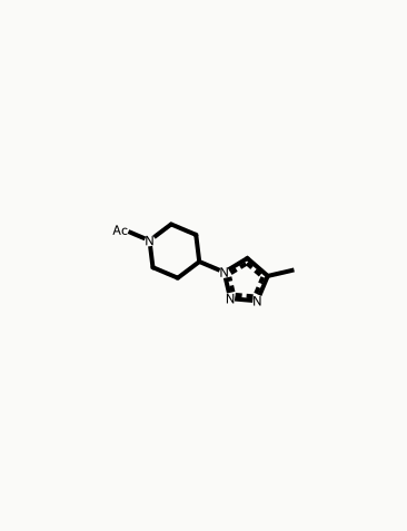 CC(=O)N1CCC(n2cc(C)nn2)CC1